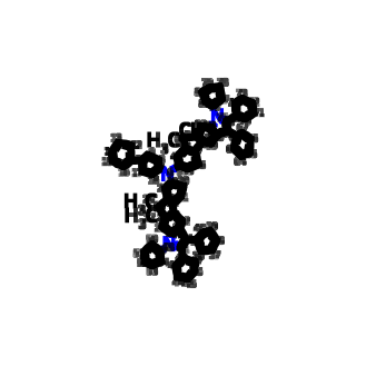 CC1(C)c2cc(N(c3ccc(-c4ccccc4)cc3)c3ccc4c(c3)C(C)(C)c3cc5c(cc3-4)c(-c3ccccc3)c(-c3ccccc3)n5-c3ccccc3)ccc2-c2cc3c(-c4ccccc4)c(-c4ccccc4)n(-c4ccccc4)c3cc21